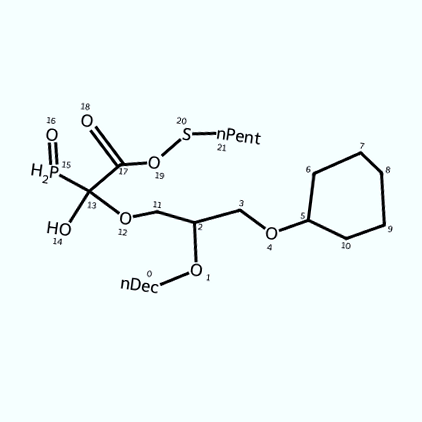 CCCCCCCCCCOC(COC1CCCCC1)COC(O)([PH2]=O)C(=O)OSCCCCC